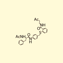 CC(=O)CCNC(=O)c1ccccc1SCc1ccc(NC(=O)C(Cc2ccccc2)NC(C)=O)cc1